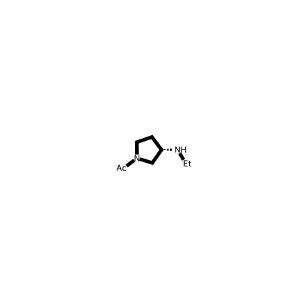 CCN[C@H]1CCN(C(C)=O)C1